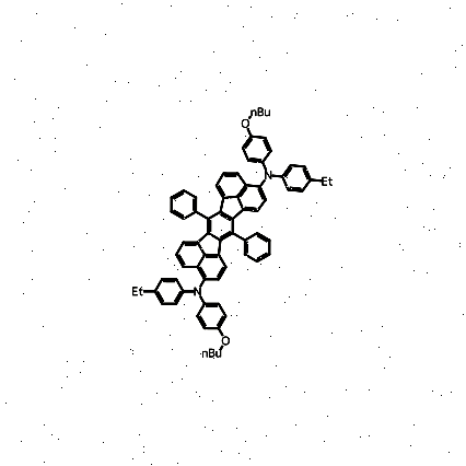 CCCCOc1ccc(N(c2ccc(CC)cc2)c2ccc3c4c(-c5ccccc5)c5c6ccc(N(c7ccc(CC)cc7)c7ccc(OCCCC)cc7)c7cccc(c5c(-c5ccccc5)c4c4cccc2c43)c76)cc1